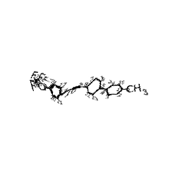 CC1CCC(C2CCC(C#Cc3ccc(OC(F)(F)F)cc3)CC2)CC1